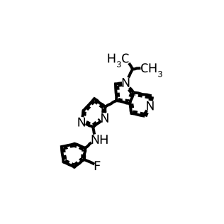 CC(C)n1cc(-c2ccnc(Nc3ccccc3F)n2)c2ccncc21